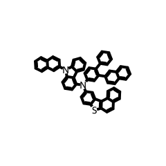 c1ccc(-c2ccc(N(c3ccc4sc5ccc6ccccc6c5c4c3)c3cccc4c3c3ccccc3n4-c3ccc4ccccc4c3)cc2-c2ccc3ccccc3c2)cc1